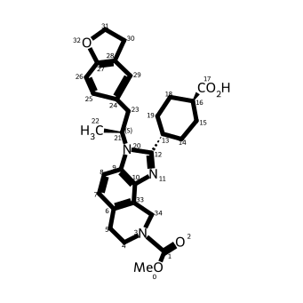 COC(=O)N1CCc2ccc3c(nc([C@H]4CC[C@H](C(=O)O)CC4)n3[C@@H](C)Cc3ccc4c(c3)CCO4)c2C1